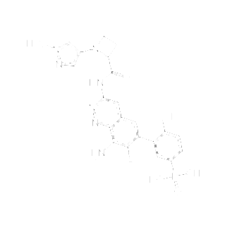 Cc1ccc(P(C)(C)=O)cc1-c1cc2cc(NC(=O)C3CCN3c3cnn(C)c3)nnc2c(N)c1F